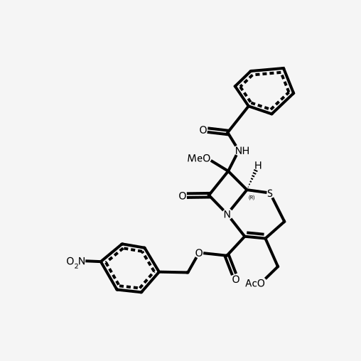 COC1(NC(=O)c2ccccc2)C(=O)N2C(C(=O)OCc3ccc([N+](=O)[O-])cc3)=C(COC(C)=O)CS[C@@H]21